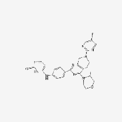 CC1COCCN1c1nc(-c2ccc(Nc3cccc(=O)[nH]3)cc2)nc2c1CCN(c1ncc(F)cn1)C2